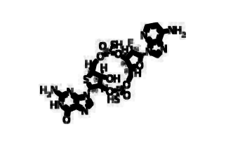 Nc1nc2c(ncn2[C@@H]2S[C@@H]3CO[P@@](=O)(S)O[C@H]4[C@H](F)[C@H](n5cnc6c(N)ccnc65)O[C@@H]4CO[P@@](=O)(S)O[C@@H]2[C@@H]3O)c(=O)[nH]1